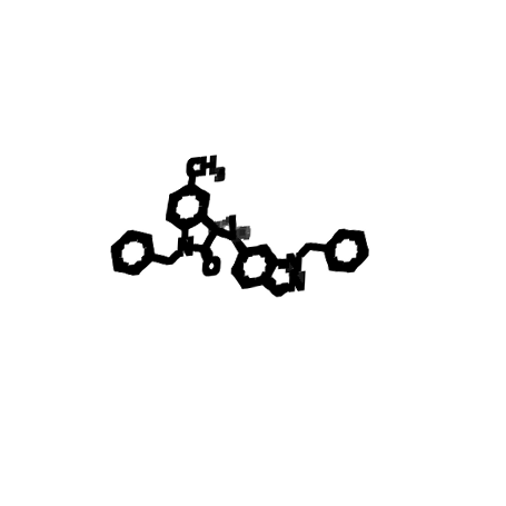 Cc1ccc2c(c1)[C@]1(C[C@H]1c1ccc3cnn(Cc4ccccc4)c3c1)C(=O)N2Cc1ccccc1